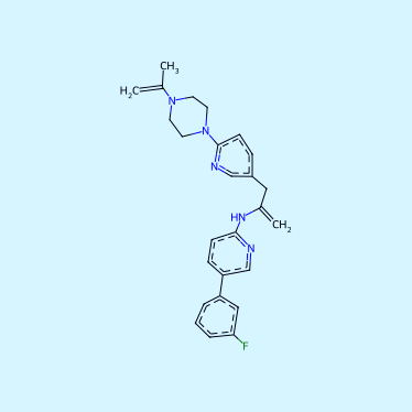 C=C(Cc1ccc(N2CCN(C(=C)C)CC2)nc1)Nc1ccc(-c2cccc(F)c2)cn1